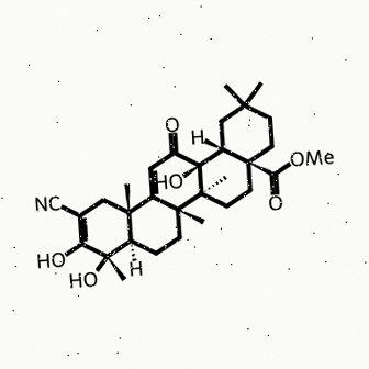 COC(=O)[C@]12CCC(C)(C)C[C@H]1[C@@]1(O)C(=O)C=C3[C@@]4(C)CC(C#N)=C(O)[C@@](C)(O)[C@@H]4CC[C@@]3(C)[C@]1(C)CC2